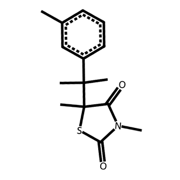 Cc1cccc(C(C)(C)C2(C)SC(=O)N(C)C2=O)c1